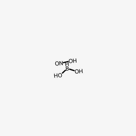 O=NO.OBO